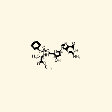 COC(=O)[C@H](C)NP(=O)(OCC1O[C@@H](n2cnc3c(=O)[nH]c(N)nc32)C[C@H]1O)Oc1ccccc1